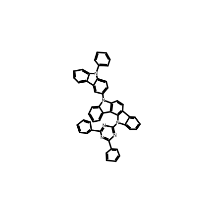 c1ccc(-c2nc(-c3ccccc3)nc(-n3c4ccccc4c4ccc5c(c6ccccc6n5-c5ccc6c(c5)c5ccccc5n6-c5ccccc5)c43)n2)cc1